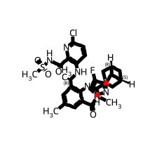 Cc1cc([C@@H](C)Nc2ccc(Cl)nc2C(=O)NS(C)(=O)=O)c2nc(N3C[C@H]4C[C@@H](C3)C4c3n[nH]cc3F)n(C)c(=O)c2c1